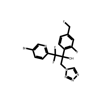 OC(Cn1cnnn1)(c1ccc(CF)cc1F)C(F)(F)c1ccc(Br)cn1